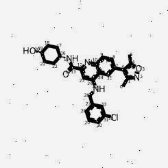 Cc1noc(C)c1-c1ccc2nc(C(=O)N[C@H]3CC[C@H](O)CC3)cc(NCc3cccc(Cl)c3)c2c1